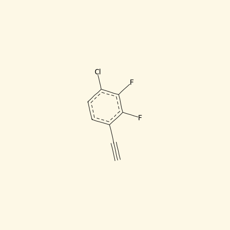 C#Cc1ccc(Cl)c(F)c1F